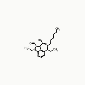 CCCCCCCC(CC)c1ccnc2c1c(C(=O)O)c(C=O)n2CC